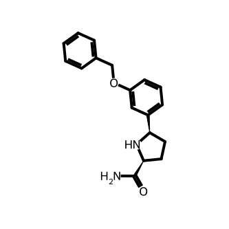 NC(=O)[C@@H]1CC[C@H](c2cccc(OCc3ccccc3)c2)N1